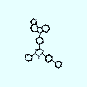 c1ccc2c(c1)c1c3occc3ccc1n2-c1ccc(C2=NC(c3ccncc3)NC(c3ccc(-c4ccncc4)cc3)=N2)cc1